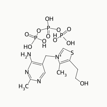 Cc1ncc(C[n+]2csc(CCO)c2C)c(N)n1.O=P(O)(O)OP(=O)(O)OP(=O)(O)O